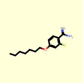 CCCCCCCOc1ccc(C(=N)N)c(F)c1